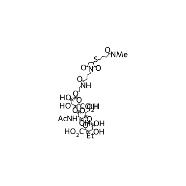 CC[C@@H]1C(C(=O)O)O[C@@H](O[C@@H]2C(CO)O[C@H](O[C@@H]3C(C(=O)O)O[C@@H](OCCNC(=O)CCCN4C(=O)CC(SCCCC(=O)NC)C4=O)[C@@H](O)C3O)C(NC(C)=O)[C@H]2O)[C@@H](O)C1O